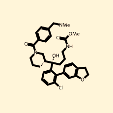 CNCc1ccc(C(=O)N2CCC[C@@H]([C@@](O)(CCCNC(=O)OC)c3cccc(Cl)c3-c3ccc4c(c3)OCC4)C2)cc1